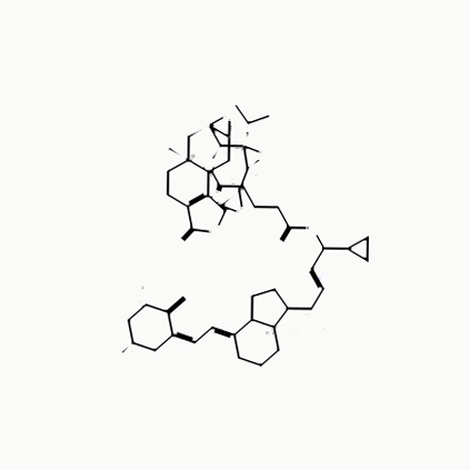 C=C1/C(=C\C=C2/CCC[C@@]3(C)C2CCC3[C@@H](C)/C=C/C(OC(=O)CCCC(=O)O[C@@H]([C@@]23C[C@@]4(C)CCC5=C(COC5=O)C4C[C@@H]2O3)[C@@]2(C(C)C)O[C@H]2[C@@H]2CO2)C2CC2)C[C@@H](O)C[C@@H]1O